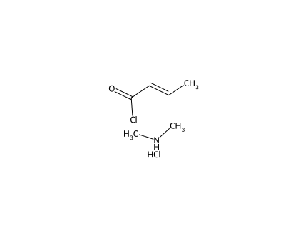 C/C=C/C(=O)Cl.CNC.Cl